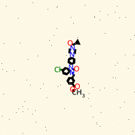 COC(=O)c1cccc(Cn2c(=O)n(-c3ccc(N4CCN(C(=O)C5CC5)CC4)cc3)c3cc(Cl)ccc32)c1